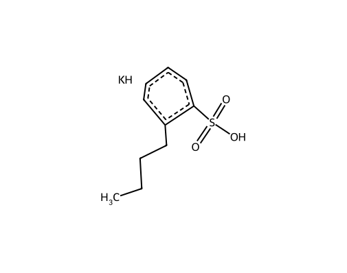 CCCCc1ccccc1S(=O)(=O)O.[KH]